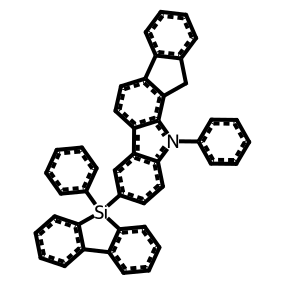 c1ccc(-n2c3ccc([Si]4(c5ccccc5)c5ccccc5-c5ccccc54)cc3c3ccc4c(c32)Cc2ccccc2-4)cc1